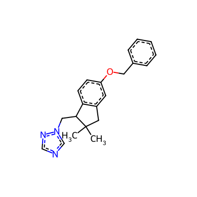 CC1(C)Cc2cc(OCc3ccccc3)ccc2C1Cn1cncn1